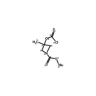 CC(C)(C)OC(=O)N1CC(C)(OC(=O)Cl)C1